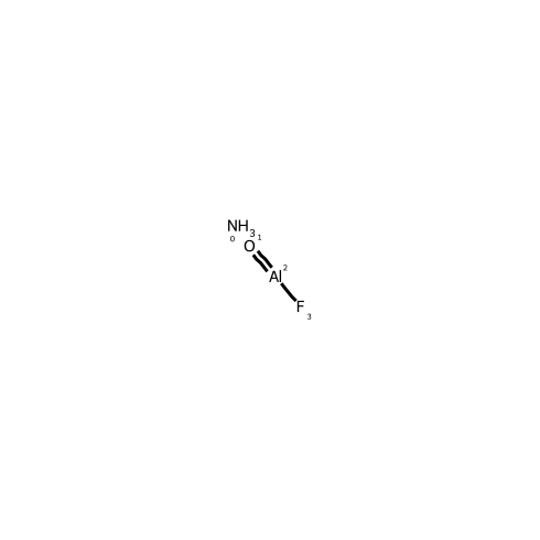 N.[O]=[Al][F]